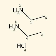 CCN.CCN.Cl